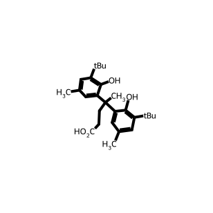 Cc1cc(C(C)(C)C)c(O)c(C(C)(CCC(=O)O)c2cc(C)cc(C(C)(C)C)c2O)c1